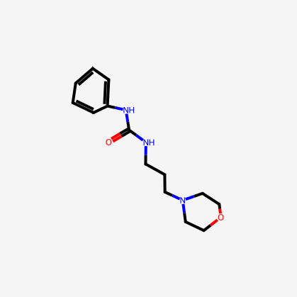 O=C(NCCCN1CCOCC1)Nc1c[c]ccc1